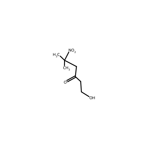 CC(C)(CC(=O)CCO)[N+](=O)[O-]